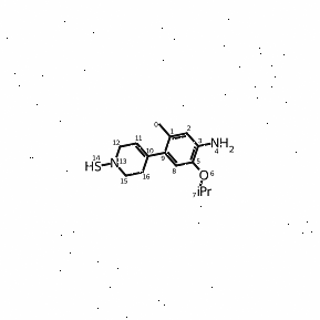 Cc1cc(N)c(OC(C)C)cc1C1=CCN(S)CC1